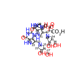 O.O.O=C(O)CCC(=O)O.O=c1[nH]cnc2c(CN3C[C@H](CO)[C@@H](O)C3)c[nH]c12.O=c1[nH]cnc2c(CN3C[C@H](CO)[C@@H](O)C3)c[nH]c12